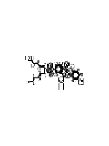 CCCCCCN(CCCCCC)S(=O)(=O)c1ccc(S(=O)(=O)Cc2ccc(Cl)cc2)c(C(=O)O)c1